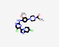 COc1cc(N2CCN(C(C)=O)CC2)ccc1Nc1ncc(Cl)c(-c2cnc3cc(Cl)ccn23)n1